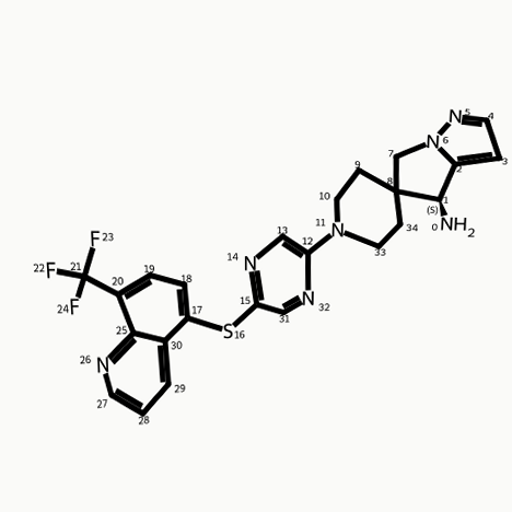 N[C@@H]1c2ccnn2CC12CCN(c1cnc(Sc3ccc(C(F)(F)F)c4ncccc34)cn1)CC2